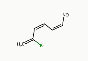 C=C(Br)/C=C\C=C/N=O